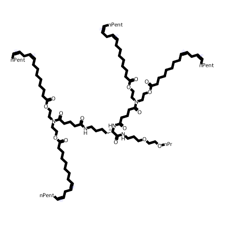 CCCCC/C=C\C/C=C\CCCCCCCC(=O)OCCN(CCOC(=O)CCCCCCC/C=C\C/C=C\CCCCC)C(=O)CCCC(=O)NCCCC[C@H](NC(=O)CCCC(=O)N(CCOC(=O)CCCCCCC/C=C\C/C=C\CCCCC)CCOC(=O)CCCCCCC/C=C\C/C=C\CCCCC)C(=O)NCCCOCCOCCC